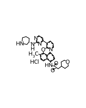 Cc1ccc2c(NS(=O)(=O)CC3CCOCC3)cccc2c1Oc1ncccc1-c1ccnc(N[C@H]2CCCNC2)n1.Cl